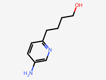 Nc1ccc(CCCCO)nc1